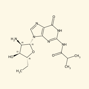 CC[C@H]1O[C@@H](n2cnc3c(=O)[nH]c(NC(=O)C(C)C)nc32)[C@H](N)[C@@H]1O